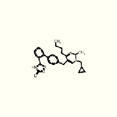 CCCCC1=NC(C)N(CC2CC2)C=C1Cc1ccc(-c2ccccc2-c2noc(=O)[nH]2)cc1